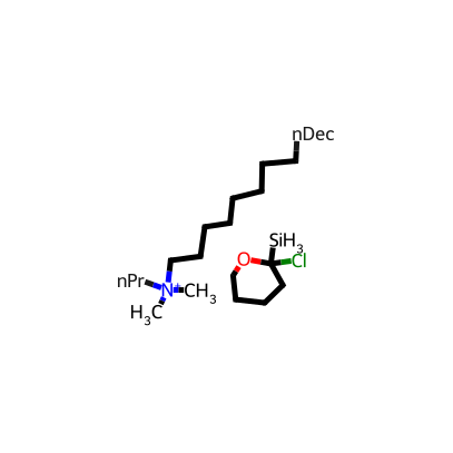 CCCCCCCCCCCCCCCCCC[N+](C)(C)CCC.[SiH3]C1(Cl)CCCCO1